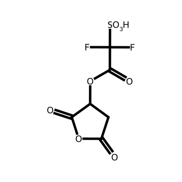 O=C1CC(OC(=O)C(F)(F)S(=O)(=O)O)C(=O)O1